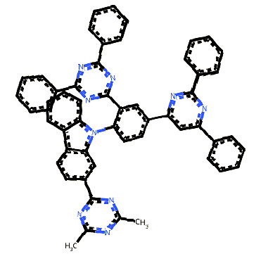 Cc1nc(C)nc(-c2ccc3c4ccccc4n(-c4ccc(-c5cc(-c6ccccc6)nc(-c6ccccc6)n5)cc4-c4nc(-c5ccccc5)nc(-c5ccccc5)n4)c3c2)n1